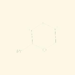 CC(C)[C]1[CH][CH][CH]CO1